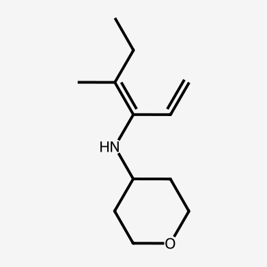 C=C/C(NC1CCOCC1)=C(/C)CC